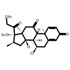 CC(=O)OCC(=O)[C@]1(OC(C)=O)[C@H](C)C[C@H]2[C@@H]3[C@H](Cl)CC4=CC(=O)C=C[C@]4(C)[C@H]3C(=O)C[C@@]21C